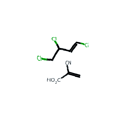 C=C(C#N)C(=O)O.ClC=CC(Cl)CCl